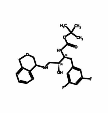 CC(C)(C)OC(=O)N[C@@H](Cc1cc(F)cc(F)c1)[C@H](O)CNC1COCc2ccccc21